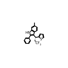 Cc1ccc2c([C@@H](CC(F)(F)F)c3cccs3)c(-c3ccccc3)[nH]c2c1